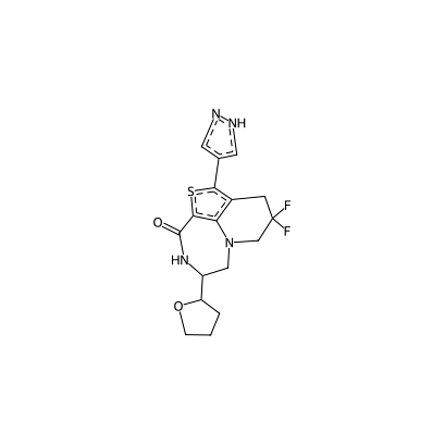 O=C1NC(C2CCCO2)CN2CC(F)(F)Cc3c(-c4cn[nH]c4)sc1c32